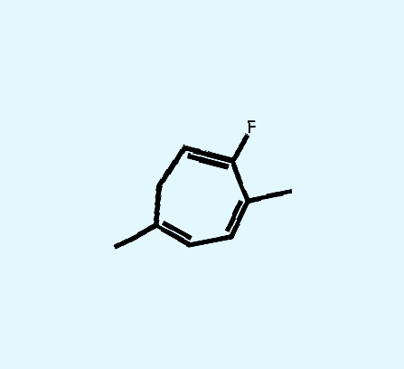 CC1=CC=C(C)C(F)=CC1